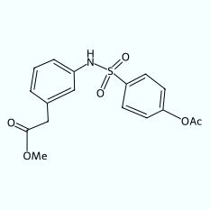 COC(=O)Cc1cccc(NS(=O)(=O)c2ccc(OC(C)=O)cc2)c1